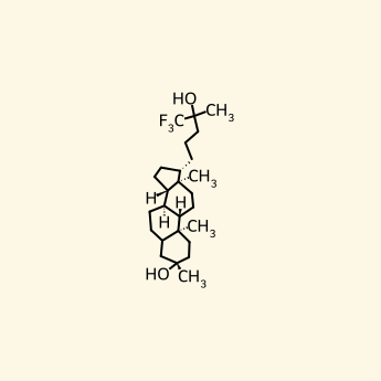 CC(O)(CCC[C@H]1CC[C@H]2[C@@H]3CCC4C[C@@](C)(O)CC[C@]4(C)[C@H]3CC[C@]12C)C(F)(F)F